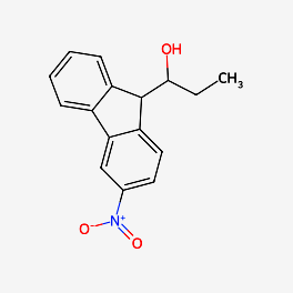 CCC(O)C1c2ccccc2-c2cc([N+](=O)[O-])ccc21